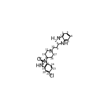 Nc1ccccc1NCCCN1CCC(n2c(=O)[nH]c3cc(Cl)ccc32)CC1